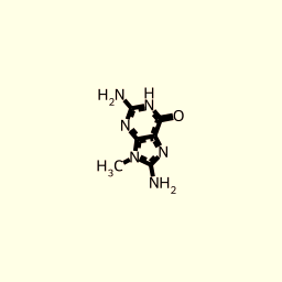 Cn1c(N)nc2c(=O)[nH]c(N)nc21